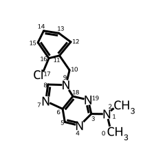 CN(C)c1ncc2ncn(Cc3ccccc3Cl)c2n1